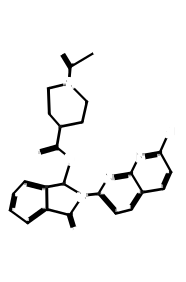 CC(=O)N1CCC(C(=O)OC2c3ccccc3C(=O)N2c2ccc3ccc(Cl)nc3n2)CC1